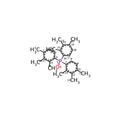 Cc1ccc(P(=O)(c2ccc(C)c(C)c2C)c2ccc(C)c(C)c2C)c(C)c1C